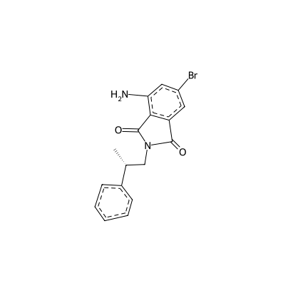 C[C@H](CN1C(=O)c2cc(Br)cc(N)c2C1=O)c1ccccc1